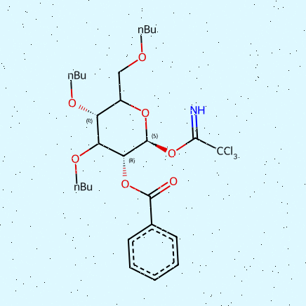 CCCCOCC1O[C@@H](OC(=N)C(Cl)(Cl)Cl)[C@H](OC(=O)c2ccccc2)C(OCCCC)[C@@H]1OCCCC